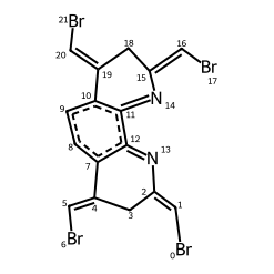 BrC=C1CC(=CBr)c2ccc3c(c2=N1)=NC(=CBr)CC3=CBr